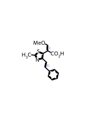 CO/C=C(/C(=O)O)c1sc(C)nc1/C=C/c1ccccc1